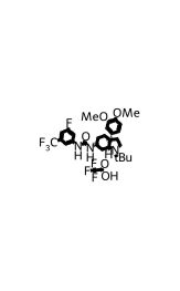 COc1ccc([C@@]23CC[C@@H](NC(=O)Nc4cc(F)cc(C(F)(F)F)c4)C[C@@H]2N(C(C)(C)C)CC3)cc1OC.O=C(O)C(F)(F)F